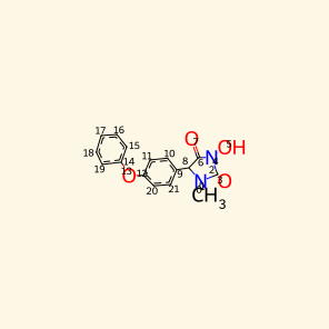 CN1C(=O)N(O)C(=O)C1c1ccc(Oc2ccccc2)cc1